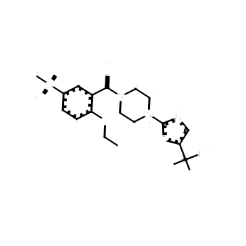 CCSc1ccc(S(C)(=O)=O)cc1C(=O)N1CCN(c2ncc(C(F)(F)F)s2)CC1